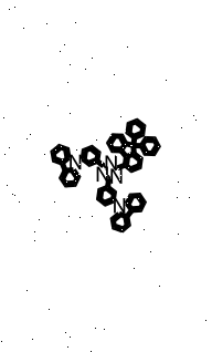 c1ccc(C2(c3ccccc3)c3ccccc3-c3c(-c4nc(-c5cccc(-n6c7ccccc7c7ccccc76)c5)nc(-c5cccc(-n6c7ccccc7c7ccccc76)c5)n4)cccc32)cc1